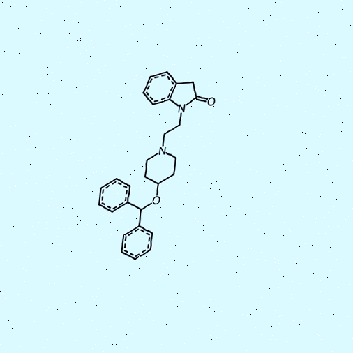 O=C1Cc2ccccc2N1CCN1CCC(OC(c2ccccc2)c2ccccc2)CC1